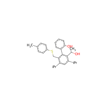 Cc1ccc(SCc2c(C(C)C)cc(C(C)C)c(C(C)O)c2-c2ccccc2O)cc1